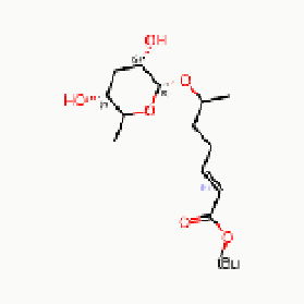 CC(CC/C=C/C(=O)OC(C)(C)C)O[C@@H]1OC(C)[C@H](O)C[C@@H]1O